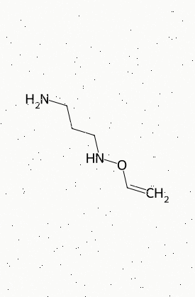 C=CONCCCN